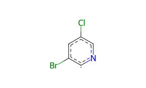 Clc1cn[c]c(Br)c1